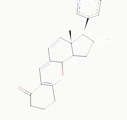 CC(=O)O[C@@H]1C[C@H]2C3OC4=C(C=C3C=C[C@]2(C)[C@H]1c1cccnc1)C(=O)CCC4